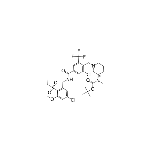 CCS(=O)(=O)c1c(CNC(=O)c2cc(Cl)c(CN3CCC[C@H](N(C)C(=O)OC(C)(C)C)C3)c(C(F)(F)F)c2)cc(Cl)cc1OC